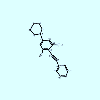 Fc1cc(C2CCCCC2)cc(F)c1C#Cc1ccccc1